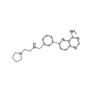 Nc1ncnc2ccc(-c3cccc(CNCCN4CCCC4)c3)nc12